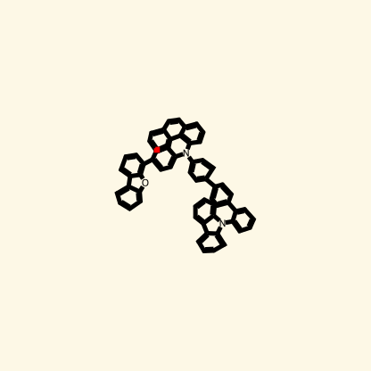 c1ccc(-n2c3ccccc3c3ccccc32)c(-c2ccc(-c3ccc(N(c4ccc(-c5cccc6c5oc5ccccc56)cc4)c4cccc5ccc6ccccc6c45)cc3)cc2)c1